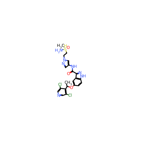 CC(Oc1ccc2[nH]nc(C(=O)Nc3cnn(CC[SH](C)(N)=O)c3)c2c1)c1c(Cl)cncc1Cl